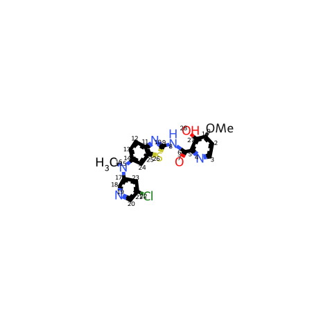 COc1ccnc(C(=O)Nc2nc3ccc(N(C)c4cncc(Cl)c4)cc3s2)c1O